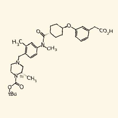 Cc1cc(N(C)C(=O)[C@H]2CC[C@H](Oc3cccc(CC(=O)O)c3)CC2)ccc1CN1CCN(C(=O)OC(C)(C)C)[C@@H](C)C1